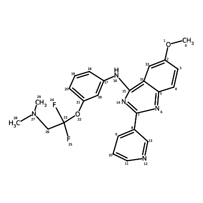 COc1ccc2nc(-c3cccnc3)nc(Nc3cccc(OC(F)(F)CN(C)C)c3)c2c1